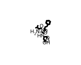 CC(C)[C@H](N)C(=O)N(C(=O)CCc1ccccc1)[C@@H](C)C(=O)NC(C=O)CC(=O)O